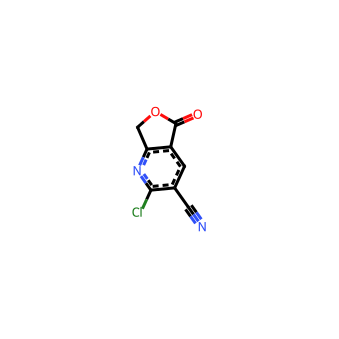 N#Cc1cc2c(nc1Cl)COC2=O